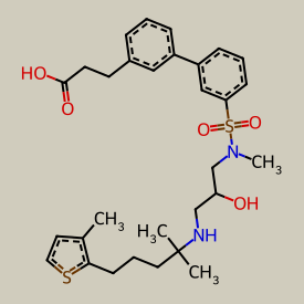 Cc1ccsc1CCCC(C)(C)NCC(O)CN(C)S(=O)(=O)c1cccc(-c2cccc(CCC(=O)O)c2)c1